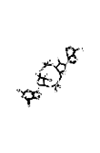 Nc1nc2c(nnn2[C@@H]2O[C@@H]3OCP(=O)(O)OC4C(F)[C@H](n5cnc6c(N)ncnc65)O[C@@H]4COP(=O)(O)OC2[C@H]3O)c(=O)[nH]1